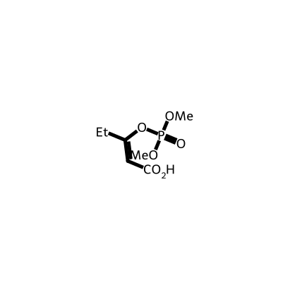 CCC(=CC(=O)O)OP(=O)(OC)OC